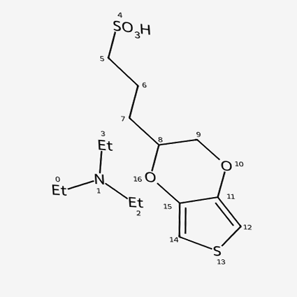 CCN(CC)CC.O=S(=O)(O)CCCC1COc2cscc2O1